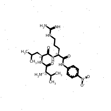 CC(C)C[C@H](NC(=O)[C@@H](N)C(C)C)C(=O)N[C@@H](CCCNC(=N)N)C(=O)Nc1ccc([N+](=O)[O-])cc1